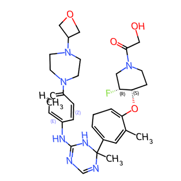 C=C(/C=C\C(=C/C)NC1=NC=NC(C)(C2=CCC=C(O[C@H]3CCN(C(=O)CO)C[C@H]3F)C(C)=C2)N1)N1CCN(C2COC2)CC1